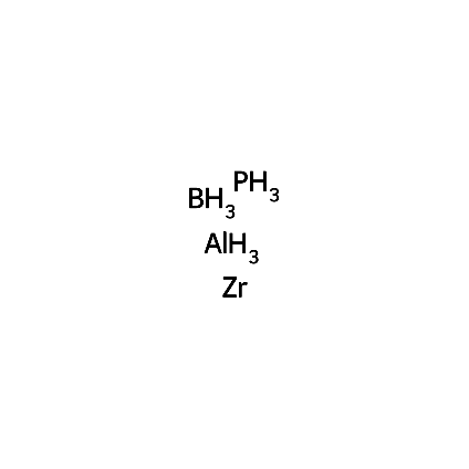 B.P.[AlH3].[Zr]